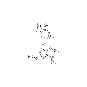 COc1cc(CCC(C)CC(CN)C(=O)O)c(OC)c(OC)c1